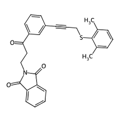 Cc1cccc(C)c1SCC#Cc1cccc(C(=O)CCN2C(=O)c3ccccc3C2=O)c1